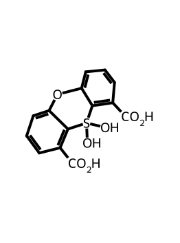 O=C(O)c1cccc2c1S(O)(O)c1c(cccc1C(=O)O)O2